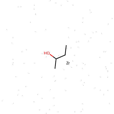 CCC(C)O.[Zr]